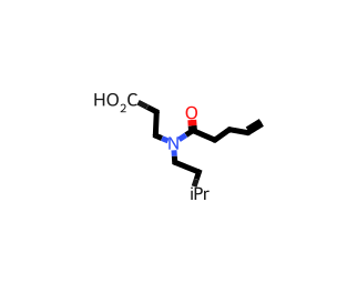 C=CCCC(=O)N(CCC(=O)O)CCC(C)C